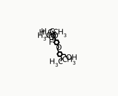 CC(C)c1ccc(COc2ccc(B3OC(C)(C)C(C)(C)O3)c(F)c2)cc1CCO